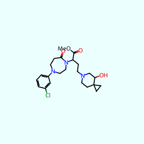 COC(=O)C(CCN1CCC2(CC2)C(O)C1)N1CCN(c2cccc(Cl)c2)CCC1=O